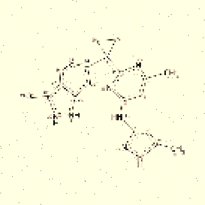 Cc1cc(Nc2cc(C)[nH]n2)nc(C2(c3ccc4c(=O)[nH][nH]c4c3)CC2)n1